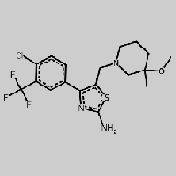 COC1(C)CCCN(Cc2sc(N)nc2-c2ccc(Cl)c(C(F)(F)F)c2)C1